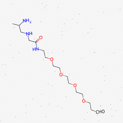 CC(N)CNCC(=O)NCCOCCOCCOCCOCCC=O